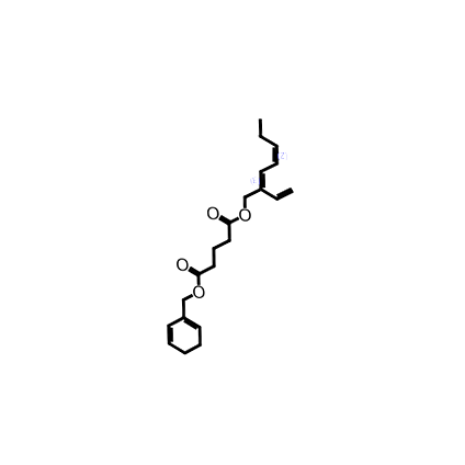 C=C/C(=C\C=C/CC)COC(=O)CCCC(=O)OCC1=CCCC=C1